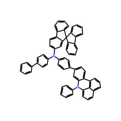 c1ccc(-c2ccc(N(c3ccc(-c4ccc5c(c4)N(c4ccccc4)c4cccc6cccc-5c46)cc3)c3ccc4c(c3)C3(c5ccccc5-c5ccccc53)c3ccccc3-4)cc2)cc1